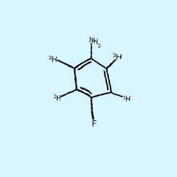 [2H]c1c([2H])c(F)c([2H])c([2H])c1N